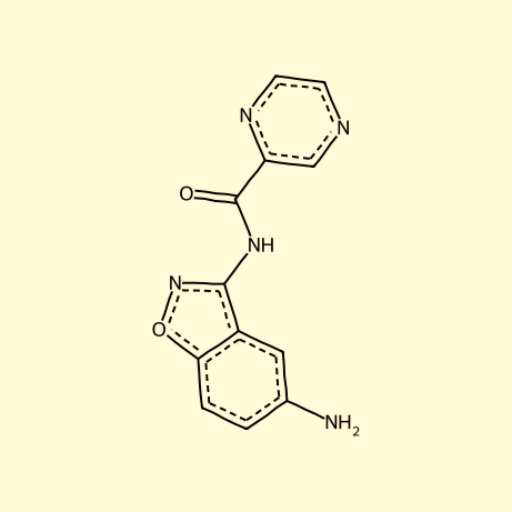 Nc1ccc2onc(NC(=O)c3cnccn3)c2c1